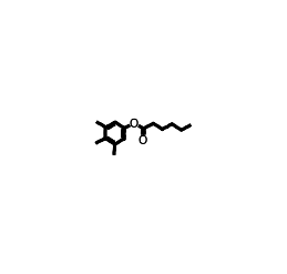 CCCCCC(=O)Oc1cc(C)c(C)c(C)c1